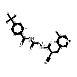 Cc1cncc(CC(C#N)C(=O)NNC(=S)NC(=O)c2ccc(C(C)(C)C)cc2)c1